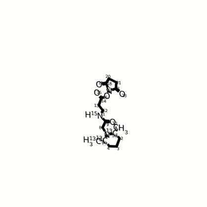 C[13C@@H]1CCC[13C@H]([13CH3])N1CC(=O)[15NH]CCC(=O)ON1C(=O)CCC1=O